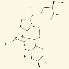 CC[C@H](CC[C@@H](C)[C@H]1CCC2[C@@H]3C(OP)C[C@@H]4C[C@H](C)CC[C@]4(C)C3CC[C@@]21C)C(C)C